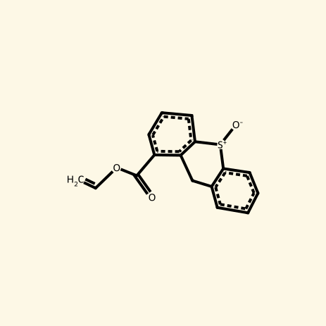 C=COC(=O)c1cccc2c1Cc1ccccc1[S+]2[O-]